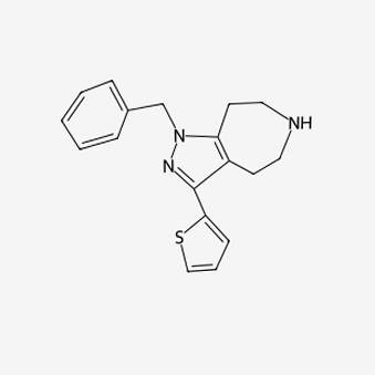 c1ccc(Cn2nc(-c3cccs3)c3c2CCNCC3)cc1